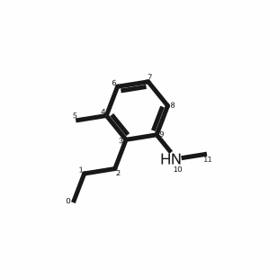 CCCc1c(C)cccc1NC